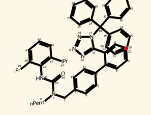 CCCCCN(Cc1ccc(-c2ccccc2-c2nnnn2C(c2ccccc2)(c2ccccc2)c2ccccc2)cc1)C(=O)Nc1c(C(C)C)cccc1C(C)C